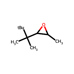 CC1OC1C(C)(C)C(C)(C)C